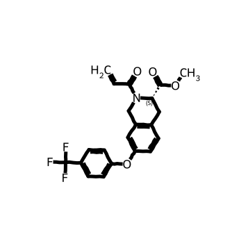 C=CC(=O)N1Cc2cc(Oc3ccc(C(F)(F)F)cc3)ccc2C[C@H]1C(=O)OC